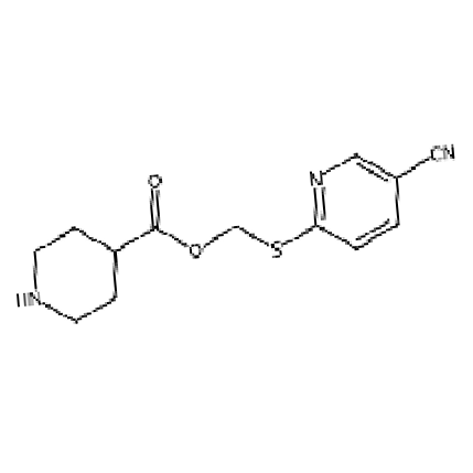 N#Cc1ccc(SCOC(=O)C2CCNCC2)nc1